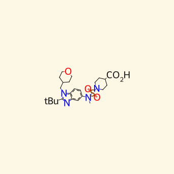 CN(c1ccc2c(c1)nc(C(C)(C)C)n2CC1CCOCC1)S(=O)(=O)N1CCC(C(=O)O)CC1